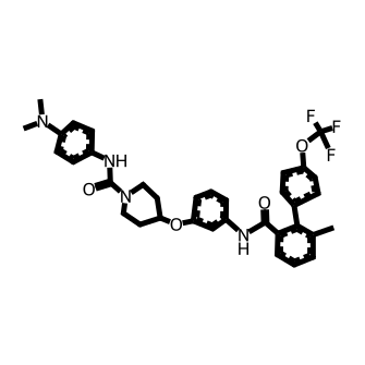 Cc1cccc(C(=O)Nc2cccc(OC3CCN(C(=O)Nc4ccc(N(C)C)cc4)CC3)c2)c1-c1ccc(OC(F)(F)F)cc1